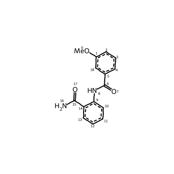 COc1cccc(C(=O)Nc2ccccc2C(N)=O)c1